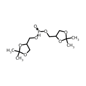 CC1(C)OCC(CO[PH](=O)OCC2COC(C)(C)O2)O1